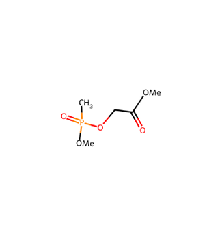 COC(=O)COP(C)(=O)OC